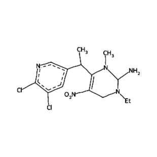 CCN1CC([N+](=O)[O-])=C(C(C)c2cnc(Cl)c(Cl)c2)N(C)C1N